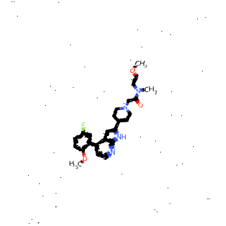 COCCN(C)C(=O)CN1CC=C(c2cc3c(-c4cc(F)ccc4OC)ccnc3[nH]2)CC1